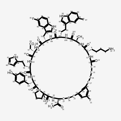 C[C@H]1NC(=O)[C@H](CCCCN)NC(=O)CCSCc2cc(F)cc(c2)CSC[C@@H](C(N)=O)NC(=O)[C@]2(C)CCCN2C(=O)[C@H](Cc2ccc(O)cc2)NC(=O)[C@H](CCc2cnc[nH]2)NC(=O)[C@H](CC(=O)O)NC(=O)[C@H](Cc2c[nH]c3ccc(F)cc23)NC(=O)[C@H](CCc2c[nH]c3ccc(F)cc23)NC1=O